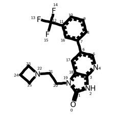 O=c1[nH]c2ncc(-c3cccc(C(F)(F)F)c3)cc2n1CCN1CCC1